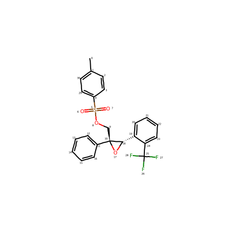 Cc1ccc(S(=O)(=O)OC[C@]2(c3ccccc3)O[C@H]2c2ccccc2C(F)(F)F)cc1